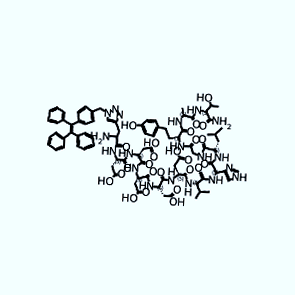 CC(C)C[C@H](NC(=O)[C@@H](NC(=O)[C@@H](NC(=O)[C@H](CC(=O)O)NC(=O)[C@H](CC(=O)O)NC(=O)[C@H](CC(=O)O)NC(=O)[C@H](CC(=O)O)NC(=O)[C@H](CC(=O)O)NC(=O)C(N)Cc1cn(Cc2ccc(C(=C(c3ccccc3)c3ccccc3)c3ccccc3)cc2)nn1)C(C)C)c1c[nH]cn1)C(=O)NCC(=O)N[C@@H](CCc1ccc(O)cc1)C(=O)N[C@@H](C)C(=O)N[C@H](C(N)=O)C(C)O